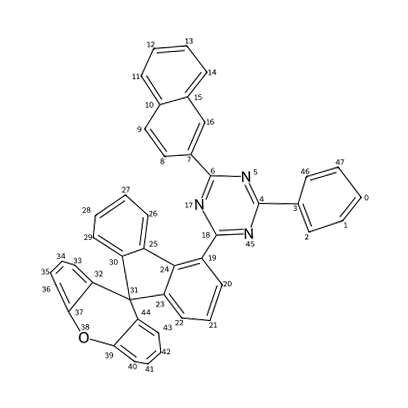 c1ccc(-c2nc(-c3ccc4ccccc4c3)nc(-c3cccc4c3-c3ccccc3C43c4ccccc4Oc4ccccc43)n2)cc1